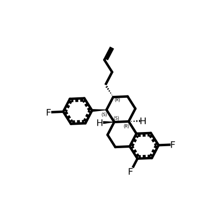 C=CCC[C@@H]1CC[C@H]2c3cc(F)cc(F)c3CC[C@@H]2[C@H]1c1ccc(F)cc1